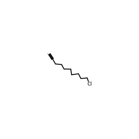 [C]#CCCCCCCCCCl